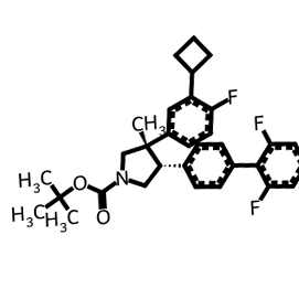 CC(C)(C)OC(=O)N1C[C@@H](c2ccc(-c3c(F)cccc3F)cc2)[C@@](C)(c2ccc(F)c(C3CCC3)c2)C1